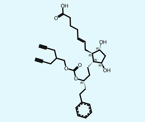 C#CCC(CC#C)COC(=O)O[C@@H](CCc1ccccc1)CC[C@@H]1[C@@H](CC=CCCCC(=O)O)[C@H](O)C[C@H]1O